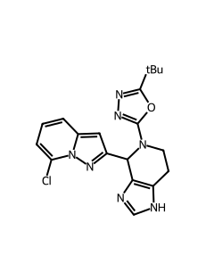 CC(C)(C)c1nnc(N2CCc3[nH]cnc3C2c2cc3cccc(Cl)n3n2)o1